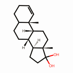 C[C@]12C=CCCC1CC[C@@H]1[C@H]2CC[C@@]2(C)[C@H]1CCC2(O)O